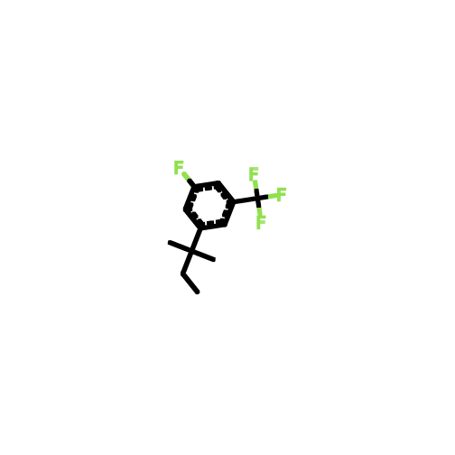 CCC(C)(C)c1cc(F)cc(C(F)(F)F)c1